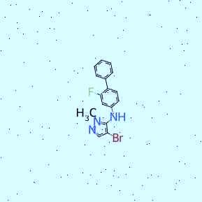 Cn1ncc(Br)c1Nc1ccc(-c2ccccc2)c(F)c1